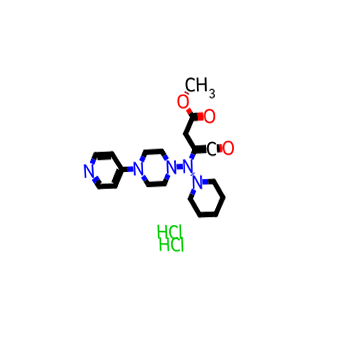 COC(=O)CC(=C=O)N(N1CCCCC1)N1CCN(c2ccncc2)CC1.Cl.Cl